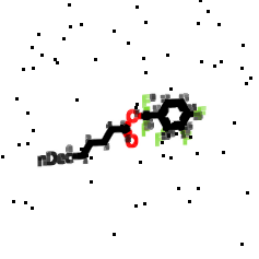 CCCCCCCCCCCCCCC(=O)OC(F)(F)c1ccc(F)c(F)c1F